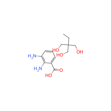 CCC(CO)(CO)CO.Nc1cccc(C(=O)O)c1N